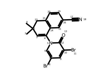 CC1(C)C=C(n2cc(Br)cc(Br)c2=O)c2cc(C#N)ccc2C1